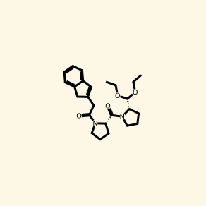 CCOC(OCC)[C@@H]1CCCN1C(=O)[C@@H]1CCCN1C(=O)CC1=Cc2ccccc2C1